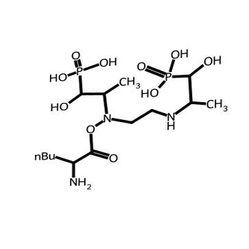 CCCCC(N)C(=O)ON(CCNC(C)C(O)P(=O)(O)O)C(C)C(O)P(=O)(O)O